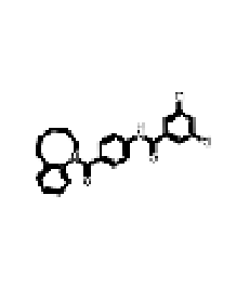 O=C(Nc1ccc(C(=O)N2CCCCCc3ccccc32)cc1)c1cc(Cl)cc(Cl)c1